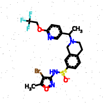 Cc1onc(N[S+]([O-])c2ccc3c(c2)CN(C(C)c2ccc(OCC(F)(F)F)nc2)CC3)c1Br